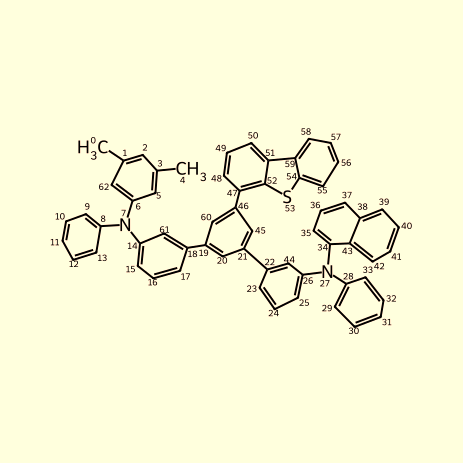 Cc1cc(C)cc(N(c2ccccc2)c2cccc(-c3cc(-c4cccc(N(c5ccccc5)c5cccc6ccccc56)c4)cc(-c4cccc5c4sc4ccccc45)c3)c2)c1